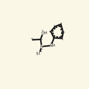 CCN(Nc1ccccc1)C(C)O